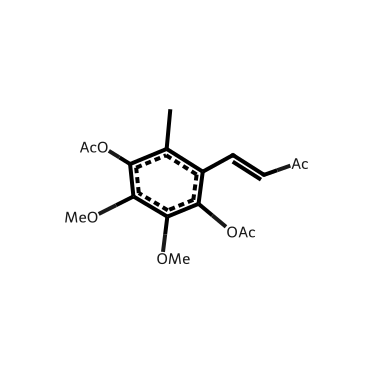 COc1c(OC(C)=O)c(C)c(C=CC(C)=O)c(OC(C)=O)c1OC